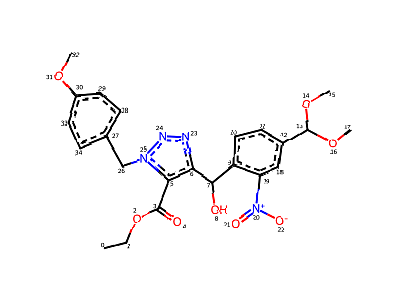 CCOC(=O)c1c(C(O)c2ccc(C(OC)OC)cc2[N+](=O)[O-])nnn1Cc1ccc(OC)cc1